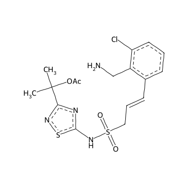 CC(=O)OC(C)(C)c1nsc(NS(=O)(=O)CC=Cc2cccc(Cl)c2CN)n1